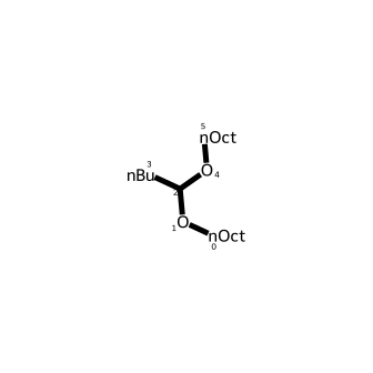 CCCCCCCCOC(CCCC)OCCCCCCCC